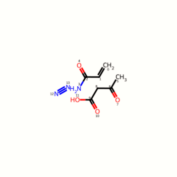 C=CC(N)=O.CC(=O)CC(=O)O.N#N